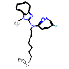 CCOC(=O)CCCCCCN(c1ccc(F)cn1)c1nc2ccccc2n1C